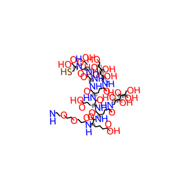 CNCCOCCOCCC(=O)N[C@H](CCCC(=O)O)C(=O)N[C@H](CCC(=O)NC[C@H](O)[C@@H](O)[C@H](O)[C@H](O)CO)C(=O)N[C@H](CCC(=O)O)C(=O)N[C@H](CCC(=O)NC[C@H](O)[C@@H](O)[C@H](O)[C@H](O)CO)C(=O)NC[C@H](N)C(=O)N[C@@H](CC(=O)O)C(=O)N[C@@H](CS)C(=O)O